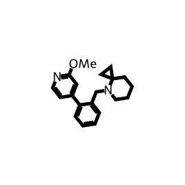 COc1cc(-c2ccccc2CN2CCCCC23CC3)ccn1